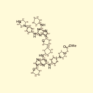 COC(=O)CN1CCN(c2ccc(Nc3nc(NC4CCCC(C5CCC(n6cnc7c(NC8CCCCC8)nc(Nc8ccc(N9CCNCC9)cc8)nc76)OC5)C4)c4ncn(C5CCCCO5)c4n3)cc2)CC1